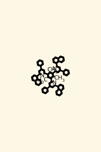 Cc1c(-c2cc(-c3ccccc3)cc(-c3cccc4ccccc34)n2)c(C)c(-c2cc(-c3ccccc3)cc(-c3cccc4ccccc34)n2)c(C)c1-c1cc(-c2ccccc2)cc(-c2cccc3ccccc23)n1